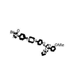 CCC(C)n1ncn(-c2ccc(N3CCN(c4ccc(OC[C@@H]5CO[C@@](Cn6cccn6)(c6cccc(OC)c6)O5)cc4)CC3)cc2)c1=O